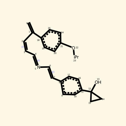 C=C(\C=C/C=N/C=C/c1ccc(C2(O)CC2)cc1)c1ccc(OC(C)C)cc1